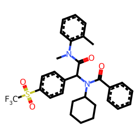 Cc1ccccc1N(C)C(=O)C(c1ccc(S(=O)(=O)C(F)(F)F)cc1)N(C(=O)c1ccccc1)C1CCCCC1